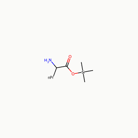 CCCC(N)C(=O)O[Si](C)(C)C